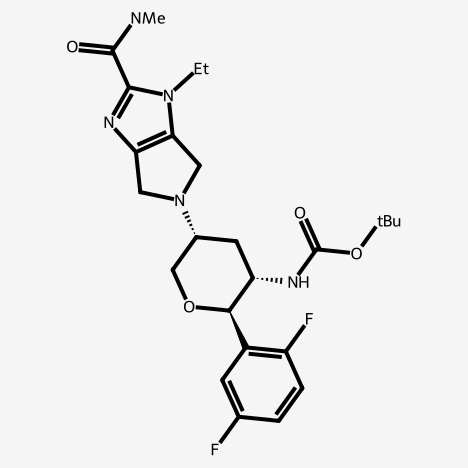 CCn1c(C(=O)NC)nc2c1CN([C@H]1CO[C@H](c3cc(F)ccc3F)[C@@H](NC(=O)OC(C)(C)C)C1)C2